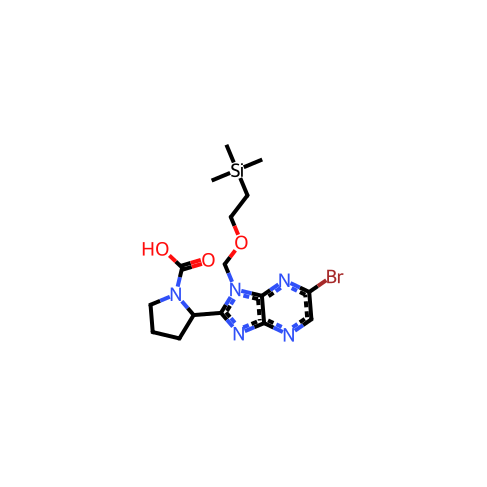 C[Si](C)(C)CCOCn1c(C2CCCN2C(=O)O)nc2ncc(Br)nc21